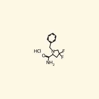 Cl.NC(=O)C1CC(F)(F)CN1Cc1ccccc1